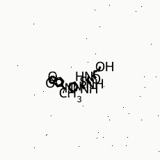 C[C@@H](c1ccc2c(c1)OCO2)N1CCN(C(=N)SC(=N)NC(=O)CCO)CC1